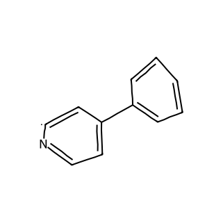 [c]1cc(-c2ccccc2)ccn1